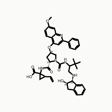 C=CC1CC1(NC(=O)[C@@H]1C[C@@H](Oc2cc(-c3ccccc3)nc3cc(OC)ccc23)CN1C(=O)NC(CN[C@H]1c2ccccc2C[C@H]1O)C(C)(C)C)C(=O)O